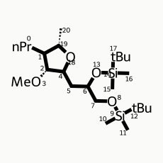 CCCC1[C@@H](OC)C(CC(CO[Si](C)(C)C(C)(C)C)O[Si](C)(C)C(C)(C)C)O[C@H]1C